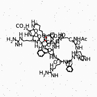 CC(=O)N[C@H]1CCC(=O)NC[C@@H](C(=O)N2CCC[C@H]2C(=O)N2CCC[C@H]2C(=O)N[C@@H](CCCNC(=N)N)C(=O)N[C@@H](CC(=O)O)C(=O)N[C@H](C)CCCCN(CC(=O)O)CC(=O)O)NC(=O)[C@H](Cc2c[nH]c3ccccc23)NC(=O)[C@H](CCCNC(=N)N)NC(=O)[C@@H](Cc2ccccc2)NC(=O)[C@H](Cc2c[nH]cn2)NC1=O